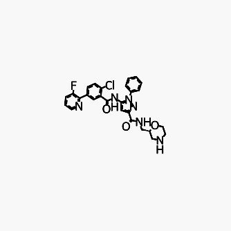 O=C(NC[C@@H]1CNCCO1)c1cc(NC(=O)c2cc(-c3ncccc3F)ccc2Cl)n(-c2ccccc2)n1